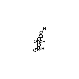 COCc1n[nH]c2cc(O)c(C(=O)N3Cc4ccc(OCCN(C)C)cc4C3)cc12